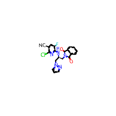 N#Cc1cc(F)c(N[C@@H](CN2C(=O)c3ccccc3C2=O)Cn2cccn2)nc1Cl